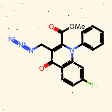 COC(=O)c1c(CN=[N+]=[N-])c(=O)c2ccc(F)cc2n1-c1ccccc1